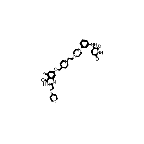 O=C1CCC(Nc2cccc(N3CCN(CCN4CCC(COc5cc(F)c6c(=O)[nH]c(CSC7CCOCC7)nc6c5)CC4)CC3)c2)C(=O)N1